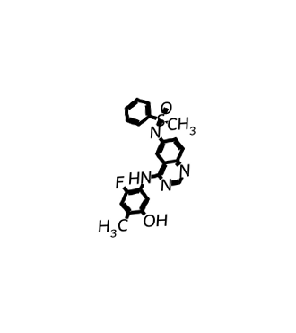 Cc1cc(F)c(Nc2ncnc3ccc(N=[S@@](C)(=O)c4ccccc4)cc23)cc1O